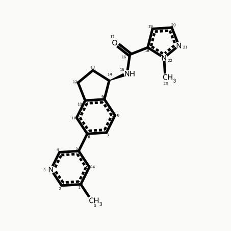 Cc1cncc(-c2ccc3c(c2)CC[C@H]3NC(=O)c2ccnn2C)c1